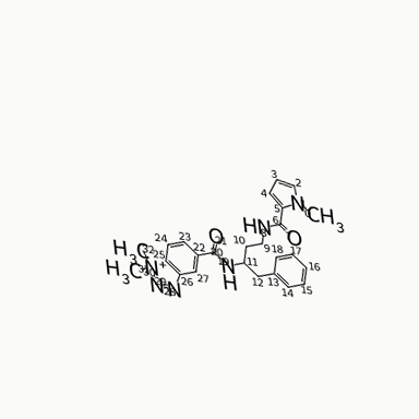 Cn1cccc1C(=O)NCCC(Cc1ccccc1)NC(=O)c1ccc2c(c1)N=N[N+]2(C)C